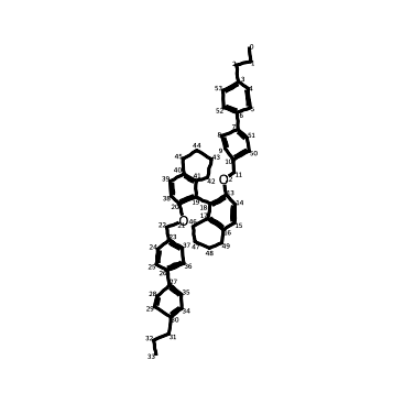 CCCc1ccc(-c2ccc(COc3ccc4c(c3-c3c(OCc5ccc(-c6ccc(CCC)cc6)cc5)ccc5c3CCCC5)CCCC4)cc2)cc1